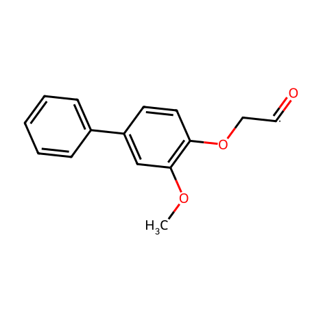 COc1cc(-c2ccccc2)ccc1OC[C]=O